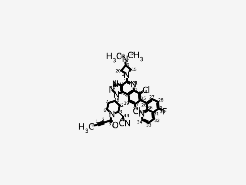 CC#CC(=O)N1CC[C@H](n2nnc3c(N4CC(N(C)C)C4)nc4c(Cl)c(-c5ccc(F)c6cccnc56)c(Cl)cc4c32)C[C@H]1CC#N